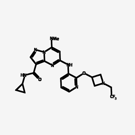 CNc1cc(Nc2cccnc2OC2CN(CC(F)(F)F)C2)nc2c(C(=O)NC3CC3)cnn12